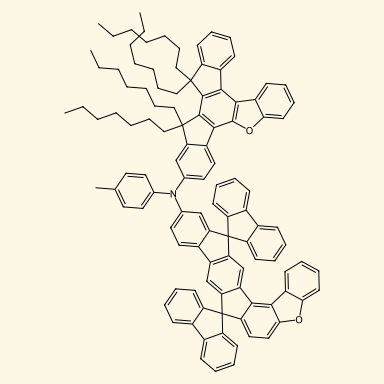 CCCCCCCC1(CCCCCCC)c2cc(N(c3ccc(C)cc3)c3ccc4c(c3)C3(c5ccccc5-c5ccccc53)c3cc5c(cc3-4)C3(c4ccccc4-c4ccccc43)c3ccc4oc6ccccc6c4c3-5)ccc2-c2c1c1c(c3c2oc2ccccc23)-c2ccccc2C1(CCCCCCC)CCCCCCC